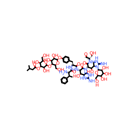 CC(C)CC(=O)OC1C(O)C(CO)OC(OC2C(CO)OC(Oc3ccc(C[C@H](NC(=O)[C@@H](N)C(C)c4ccccc4)C(=O)N[C@H](C(=O)N[C@H](C(=O)N[C@H]([C]=O)CO)C(O)C4CNC(=N)N4C4OC(CO)C(O)C(O)C4O)C(O)C4CNC(=N)N4)cc3)C(O)C2O)C1O